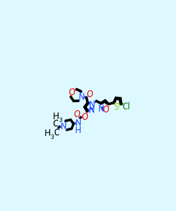 CC(C)N1CCC(NC(=O)Oc2cc(C(=O)N3CCCOCC3)n(Cc3cc(-c4ccc(Cl)s4)on3)n2)CC1